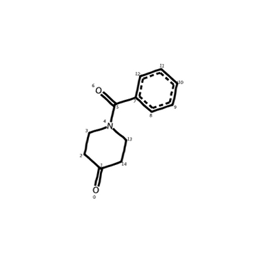 O=C1CCN(C(=O)c2cc[c]cc2)CC1